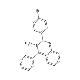 CN1C(c2ccccc2)=c2ccccc2=NC1c1ccc(Br)cc1